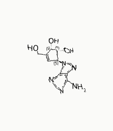 Nc1ncnc2c1ncn2[C@H]1C=C(CO)[C@H](O)[C@@H]1O